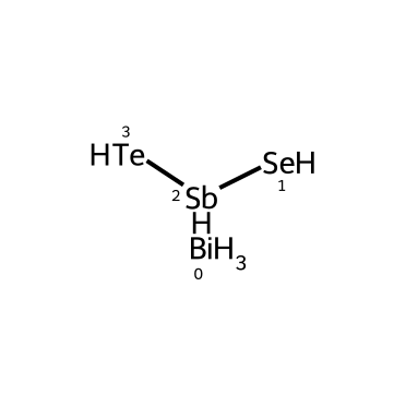 [BiH3].[SeH][SbH][TeH]